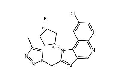 Cc1cn(Cc2nc3cnc4ccc(Cl)cc4c3n2[C@@H]2CC[C@H](F)C2)nn1